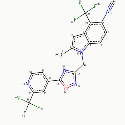 [C-]#[N+]c1ccc2c(cc(C)n2Cc2noc(-c3ccnc(C(F)(F)F)c3)n2)c1C(F)(F)F